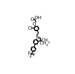 CC1(C)CN(CCc2ccc(OCC(=O)O)c(Cl)c2)c2ccc(-c3ccc(C(F)(F)F)cc3)cc21